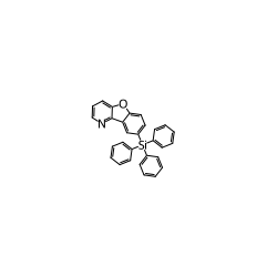 c1ccc([Si](c2ccccc2)(c2ccccc2)c2ccc3oc4cccnc4c3c2)cc1